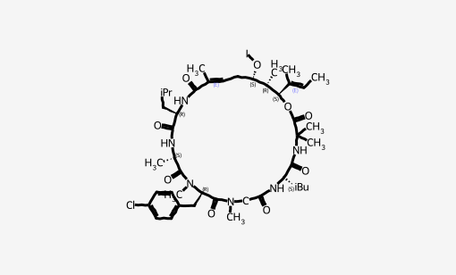 C/C=C(\C)[C@H]1OC(=O)C(C)(C)NC(=O)C([C@@H](C)CC)NC(=O)CN(C)C(=O)[C@@H](Cc2ccc(Cl)cc2)N(C)C(=O)[C@H](C)NC(=O)[C@@H](CC(C)C)NC(=O)/C(C)=C/C[C@H](OI)[C@@H]1C